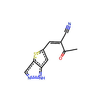 CC(=O)C(C#N)=Cc1cc2[nH]ncc2s1